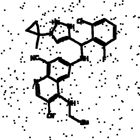 CC(C)(C)CNc1c(C#N)cnc2c(C#N)cc(NC(C3=CN(C4(C)CC4)NN3)c3c(F)cccc3Cl)cc12